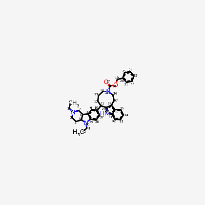 CCN1CCC2C(C1)c1cc(C3CCCN(C(=O)OCc4ccccc4)CCc4c3[nH]c3ccccc43)ccc1N2CC